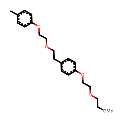 COCCOCCOc1ccc(CCOCCOc2ccc(C)cc2)cc1